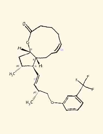 C[C@H](/C=C/[C@@H]1[C@H]2C/C=C\CCCC(=O)O[C@H]2C[C@H]1C)COc1cccc(C(F)(F)F)c1